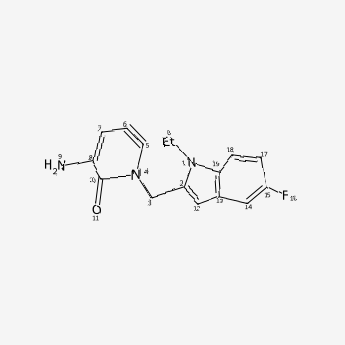 CCn1c(Cn2c#ccc(N)c2=O)cc2cc(F)ccc21